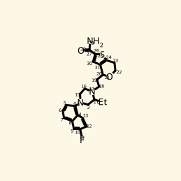 CCC1CN(c2cccc3cc(F)ccc23)CCN1CCC1OCCc2sc(C(N)=O)cc21